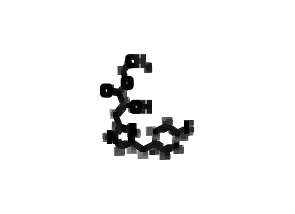 CCOC(=O)C(O)=Cc1ncc(Cc2ccc(F)cc2)s1